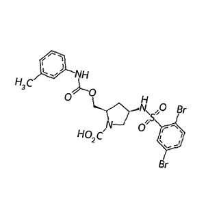 Cc1cccc(NC(=O)OC[C@H]2C[C@@H](NS(=O)(=O)c3cc(Br)ccc3Br)CN2C(=O)O)c1